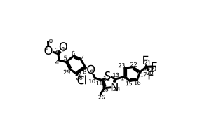 COC(=O)Cc1ccc(OCc2sc(-c3ccc(C(F)(F)F)cc3)nc2C)c(Cl)c1